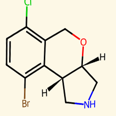 Clc1ccc(Br)c2c1CO[C@@H]1CNC[C@H]21